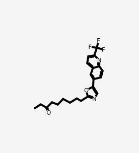 CCC(=O)CCCCCCc1ncc(-c2ccc3nc(C(F)(F)F)ccc3c2)o1